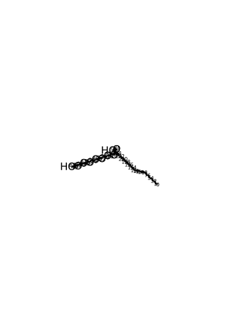 CCCCCCCCCC#CC#CCCCCCCCCCCCCC(OCCOCCOCCOCCOCCOCCOCCO)C(=O)O